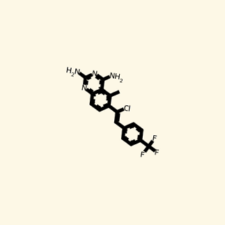 Cc1c(C(Cl)=Cc2ccc(C(F)(F)F)cc2)ccc2nc(N)nc(N)c12